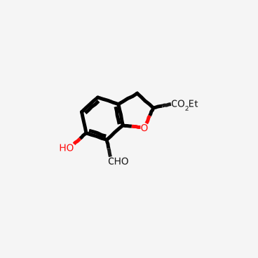 CCOC(=O)C1Cc2ccc(O)c(C=O)c2O1